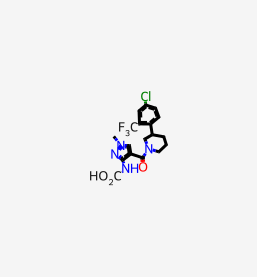 Cn1cc(C(=O)N2CCCC(c3ccc(Cl)cc3C(F)(F)F)C2)c(NC(=O)O)n1